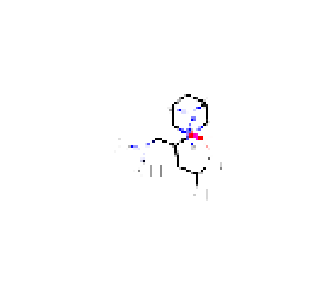 CC(C)CC(CN(C)C)C(=O)N1C2CC1CN(C)C2